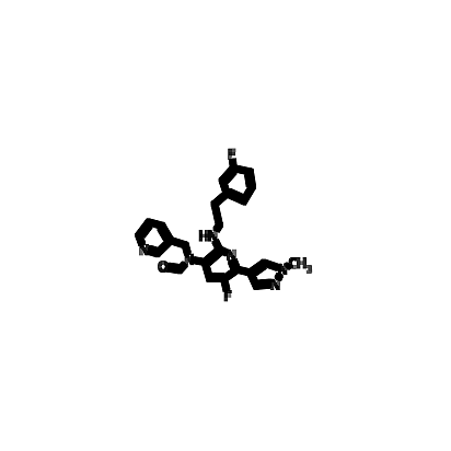 Cn1cc(-c2nc(NCCc3cccc(F)c3)c(N(C=O)Cc3cccnc3)cc2F)cn1